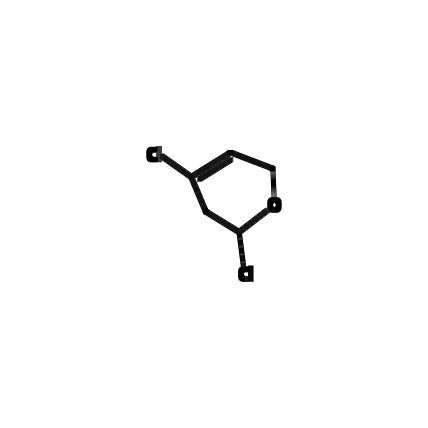 ClC1=CCOC(Cl)C1